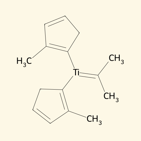 CC1=[C]([Ti]([C]2=C(C)C=CC2)=[C](C)C)CC=C1